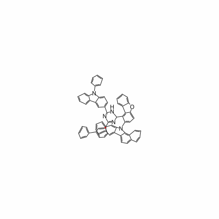 c1ccc(-c2cccc(C3=NC(c4c(-n5c6cc7ccccc7cc6c6ccc7ccccc7c65)ccc5oc6ccccc6c45)NC(c4ccc5c(c4)c4ccccc4n5-c4ccccc4)=N3)c2)cc1